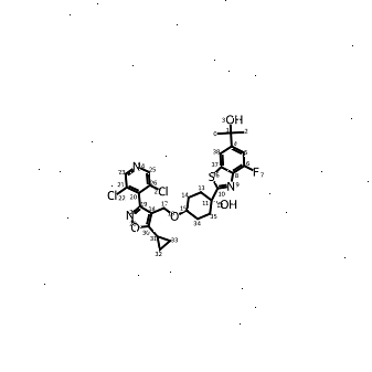 CC(C)(O)c1cc(F)c2nc([C@]3(O)CC[C@H](OCc4c(-c5c(Cl)cncc5Cl)noc4C4CC4)CC3)sc2c1